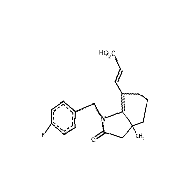 CC12CCCC(C=CC(=O)O)=C1N(Cc1ccc(F)cc1)C(=O)C2